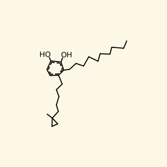 CCCCCCCCCCc1c(CCCCCC2(C)CC2)ccc(O)c1O